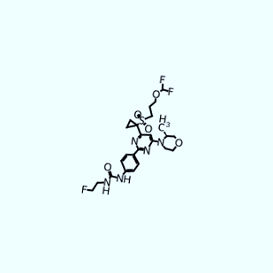 C[C@H]1COCCN1c1cc(C2(S(=O)(=O)CCCOC(F)F)CC2)nc(-c2ccc(NC(=O)NCCF)cc2)n1